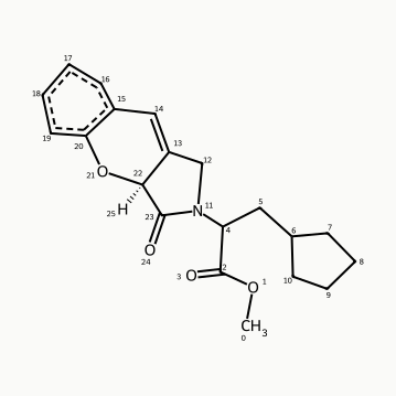 COC(=O)C(CC1CCCC1)N1CC2=Cc3ccccc3O[C@@H]2C1=O